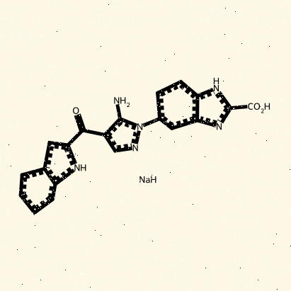 Nc1c(C(=O)c2cc3ccccc3[nH]2)cnn1-c1ccc2[nH]c(C(=O)O)nc2c1.[NaH]